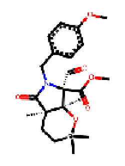 COC(=O)[C@]1(C=O)N(Cc2ccc(OC)cc2)C(=O)[C@@H]2CC[Si](C)(C)O[C@@]21C